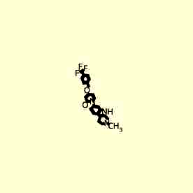 CN1CCc2c([nH]c3cc(-n4ccc(OCc5ccc(C(F)(F)F)cc5)cc4=O)ccc23)C1